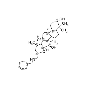 C[C@@H]1C[C@H](CNCc2ccccc2)O[C@H]2C1[C@@]1(C)CC[C@@]34C[C@@]35CC[C@H](O)C(C)(C)C5CCC4[C@]1(C)[C@H]2O